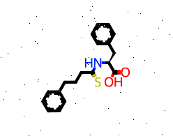 O=C(O)[C@H](Cc1ccccc1)NC(=S)CCCc1ccccc1